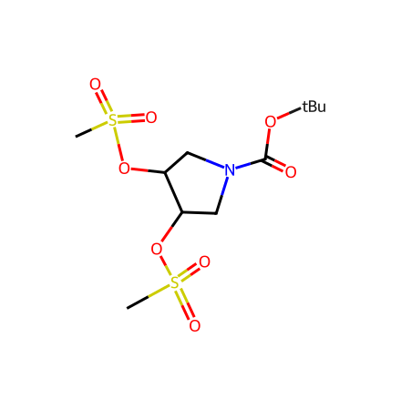 CC(C)(C)OC(=O)N1CC(OS(C)(=O)=O)C(OS(C)(=O)=O)C1